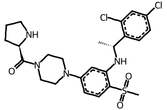 C[C@@H](Nc1cc(N2CCN(C(=O)[C@H]3CCCN3)CC2)ccc1S(C)(=O)=O)c1ccc(Cl)cc1Cl